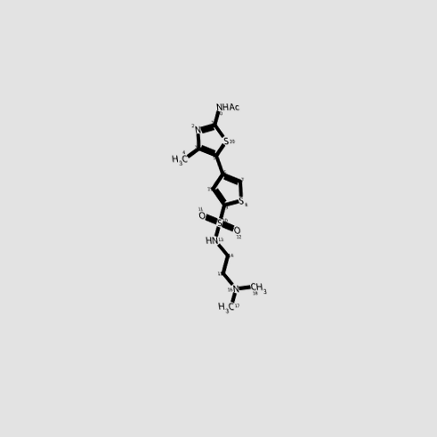 CC(=O)Nc1nc(C)c(-c2csc(S(=O)(=O)NCCN(C)C)c2)s1